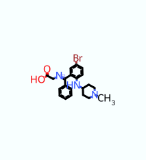 CN1CCC(Nc2ccc(Br)cc2/C(=N/CC(=O)O)c2ccccc2)CC1